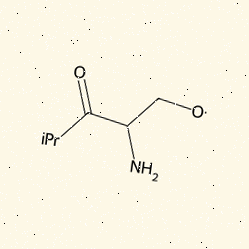 CC(C)C(=O)C(N)C[O]